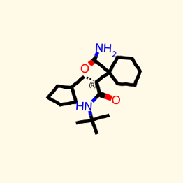 CC(C)(C)NC(=O)[C@H](CC1CCCC1)C1(C(N)=O)CCCCC1